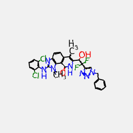 Cc1c(C(O)C(F)(F)c2cn(Cc3ccccc3)nn2)[nH]c(=O)c2c1ccc1nc(Nc3c(Cl)cccc3Cl)n(C)c12